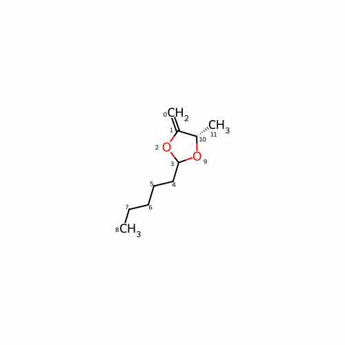 C=C1OC(CCCCC)O[C@H]1C